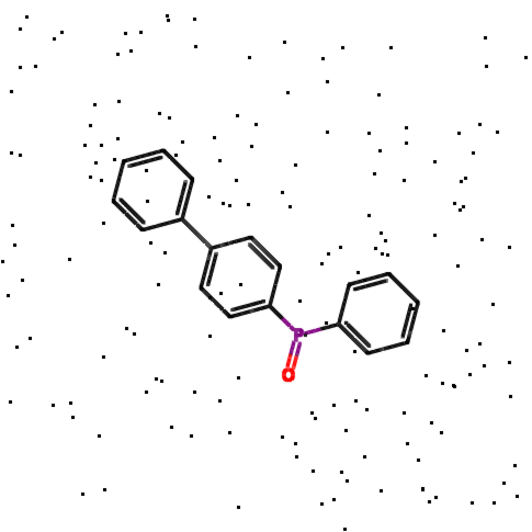 O=[P](c1ccccc1)c1ccc(-c2ccccc2)cc1